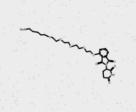 CNCCCCCOCCOCCOCCOCCOc1cccc2c1C(=O)N(C1CCC(=O)NC1=O)C2=O